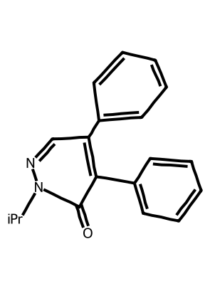 CC(C)n1ncc(-c2ccccc2)c(-c2ccccc2)c1=O